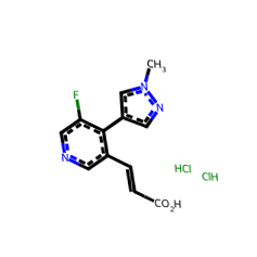 Cl.Cl.Cn1cc(-c2c(F)cncc2/C=C/C(=O)O)cn1